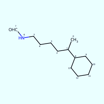 CC(CCCCNC=O)C1CCCCC1